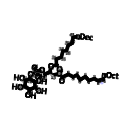 CCCCCCCC/C=C\CCCCCCCC(=O)OC[C@H](COP(=O)(O)OC1C(O)C(O)C(O)[C@@H](O)C1O)OC(=O)CCCCCCCCCCCCCCCCC